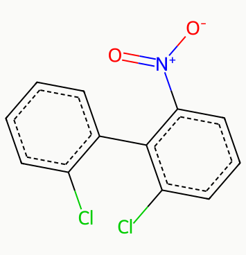 O=[N+]([O-])c1cccc(Cl)c1-c1ccccc1Cl